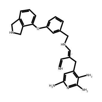 N=C/C(=C\NCc1cccc(Oc2cccc3c2CNC3)c1)Cc1cc(N)nc(N)c1N